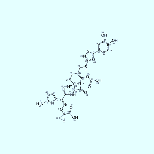 Nc1nc(C(=NOC2(C(=O)O)CC2)C(=O)N[C@@H]2C(=O)N3C(OC(=O)O)=C(CSc4ncc(-c5ccc(O)c(O)c5)o4)CS[C@@H]23)cs1